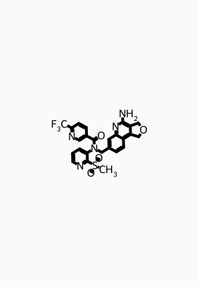 CS(=O)(=O)c1ncccc1N(Cc1ccc2c3c(c(N)nc2c1)COC3)C(=O)c1ccc(C(F)(F)F)nc1